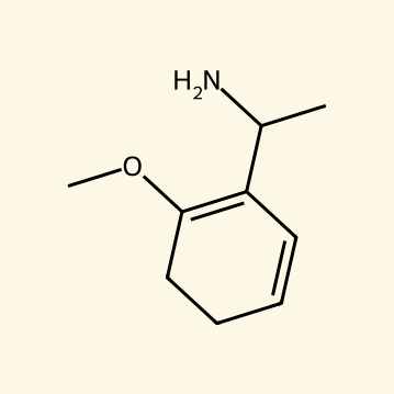 COC1=C(C(C)N)C=CCC1